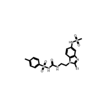 CCc1nc2cc(NS(C)(=O)=O)ccc2n1CCNC(=O)NS(=O)(=O)c1ccc(C)cc1